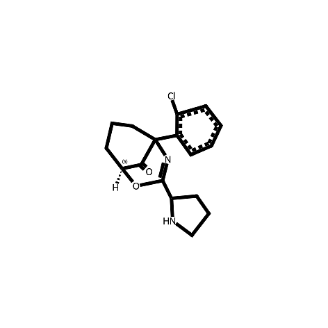 O=C1[C@@H]2CCCC1(c1ccccc1Cl)N=C(C1CCCN1)O2